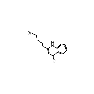 CCC(C)CCCCc1cc(=O)c2ccccc2[nH]1